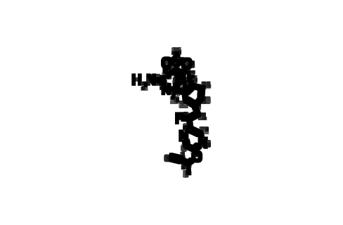 C#C[C@H](C)Oc1cnc(C(F)=Cc2ccc(F)c([C@@]3(C)N=C(N)S[C@@]4(S(C)(=O)=O)C[C@H]43)c2)cn1